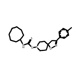 Cc1ccc(C2=NOC3(CCN(OC(=S)NC4CCCCCCC4)CC3)C2)cc1